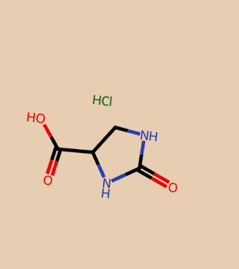 Cl.O=C1NCC(C(=O)O)N1